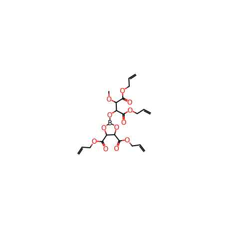 C=CCOC(=O)C(OC)C(OB1OC(C(=O)OCC=C)C(C(=O)OCC=C)O1)C(=O)OCC=C